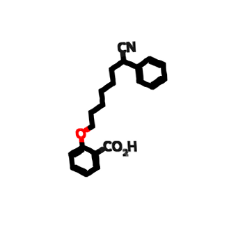 N#CC(CCCCCCOc1ccccc1C(=O)O)c1ccccc1